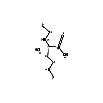 CCN[C@@H](CCSC)C(=O)O.Cl